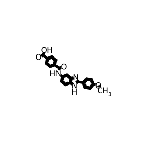 COc1ccc(-c2nc3cc(NC(=O)c4ccc(C(=O)O)cc4)ccc3[nH]2)cc1